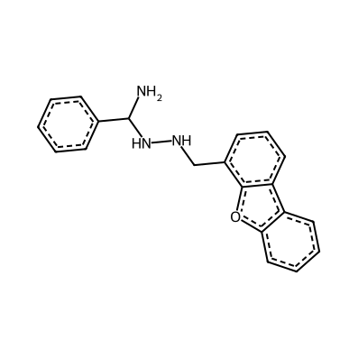 NC(NNCc1cccc2c1oc1ccccc12)c1ccccc1